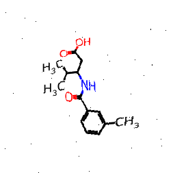 Cc1cccc(C(=O)NC(CC(=O)O)C(C)C)c1